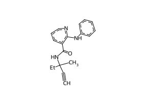 C#CC(C)(CC)NC(=O)c1cccnc1Nc1ccccc1